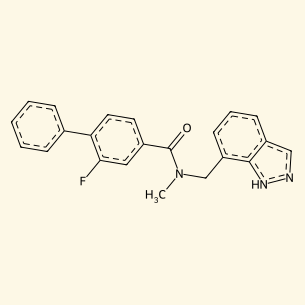 CN(Cc1cccc2cn[nH]c12)C(=O)c1ccc(-c2ccccc2)c(F)c1